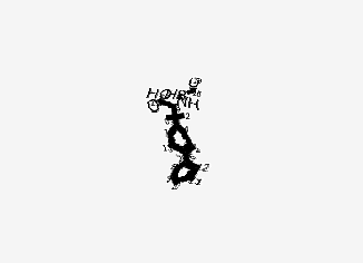 CC(C)(c1ccc(-c2ccccc2)cc1)[C@@H](NBC=O)C(=O)O